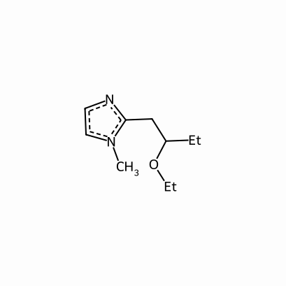 CCOC(CC)Cc1nccn1C